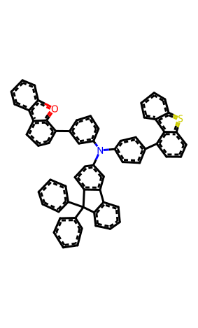 c1ccc(C2(c3ccccc3)c3ccccc3-c3cc(N(c4ccc(-c5cccc6sc7ccccc7c56)cc4)c4cccc(-c5cccc6c5oc5ccccc56)c4)ccc32)cc1